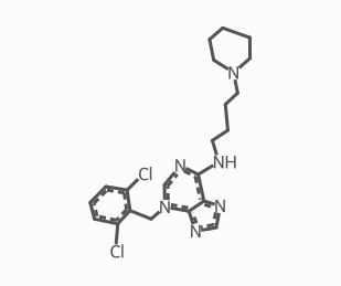 Clc1cccc(Cl)c1Cn1cnc(NCCCCN2CCCCC2)c2ncnc1-2